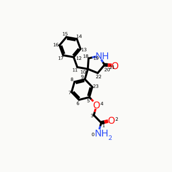 NC(=O)COc1cccc(C2(Cc3ccccc3)CNC(=O)C2)c1